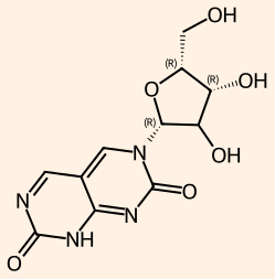 O=c1ncc2cn([C@@H]3O[C@H](CO)[C@H](O)C3O)c(=O)nc2[nH]1